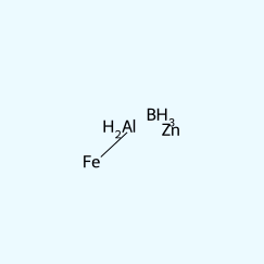 B.[AlH2][Fe].[Zn]